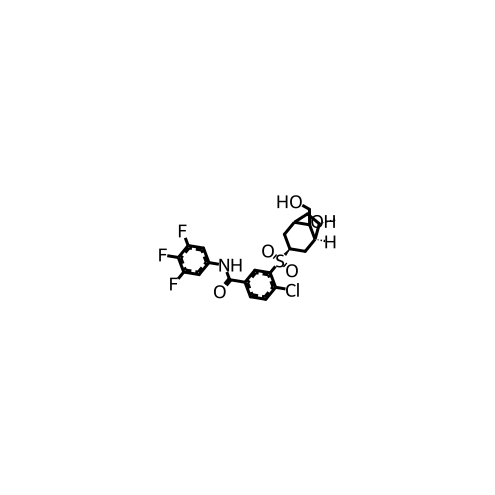 C[C@H]1CC2C[C@H](S(=O)(=O)c3cc(C(=O)Nc4cc(F)c(F)c(F)c4)ccc3Cl)C[C@H]1[C@]2(O)CO